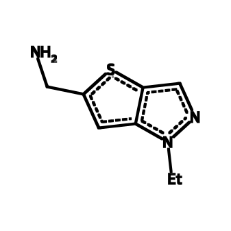 CCn1ncc2sc(CN)cc21